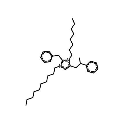 CCCCCCCCCCn1cc(CC(C)c2ccccc2)[n+](CCCCCCCC)c1Cc1ccccc1